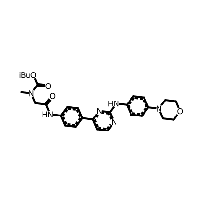 CC(C)COC(=O)N(C)CC(=O)Nc1ccc(-c2ccnc(Nc3ccc(N4CCOCC4)cc3)n2)cc1